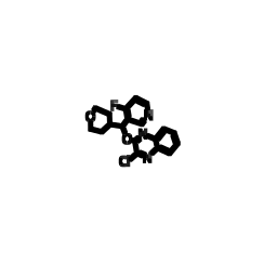 Fc1ccncc1C(Oc1nc2ccccc2nc1Cl)C1CCOCC1